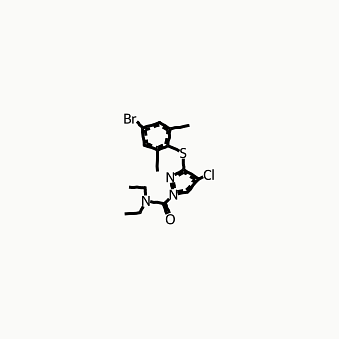 CCN(CC)C(=O)n1cc(Cl)c(Sc2c(C)cc(Br)cc2C)n1